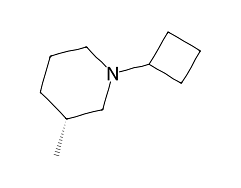 C[C@@H]1CCCN(C2CCC2)C1